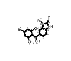 Cc1cc(Br)cc(C)c1C(O)c1ccc2[nH]c(=O)n(C(C)C)c2c1